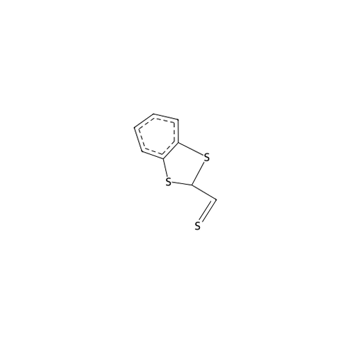 S=CC1Sc2ccccc2S1